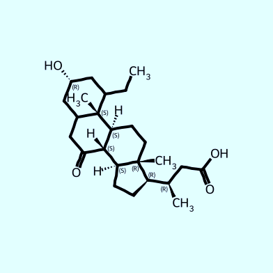 CCC1C[C@@H](O)CC2CC(=O)[C@@H]3[C@H](CC[C@]4(C)[C@@H]([C@H](C)CC(=O)O)CC[C@@H]34)[C@@]12C